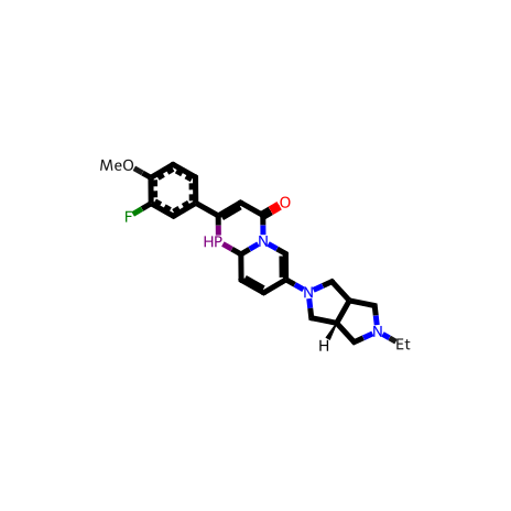 CCN1CC2CN(C3=CN4C(=O)C=C(c5ccc(OC)c(F)c5)PC4C=C3)C[C@H]2C1